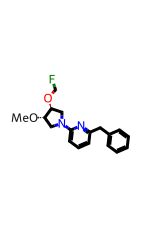 CO[C@H]1CN(c2cccc(Cc3ccccc3)n2)C[C@H]1OCF